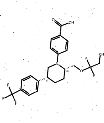 CCC(F)(F)OC[C@@H]1CC[C@H](c2ccc(C(F)(F)F)cc2)CN1c1ccc(C(=O)O)cc1